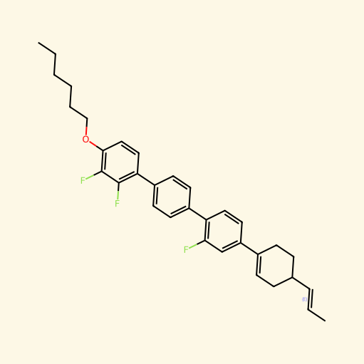 C/C=C/C1CC=C(c2ccc(-c3ccc(-c4ccc(OCCCCCC)c(F)c4F)cc3)c(F)c2)CC1